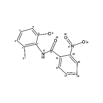 Cc1cccc(Cl)c1NC(=O)c1ccccc1[N+](=O)[O-]